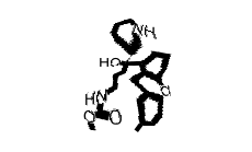 COC(=O)NCCCC(O)(c1cccc(Cl)c1Cc1cccc(C)c1)[C@@H]1CCCNC1